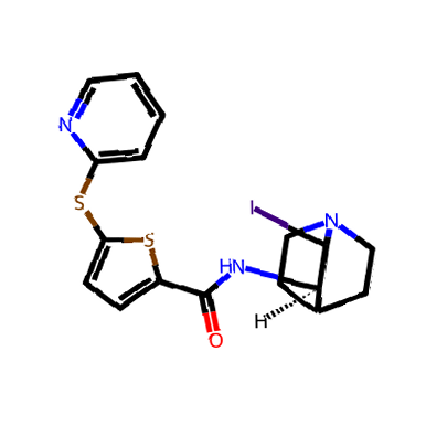 O=C(N[C@@H]1C2CCN(CC2)C1I)c1ccc(Sc2ccccn2)s1